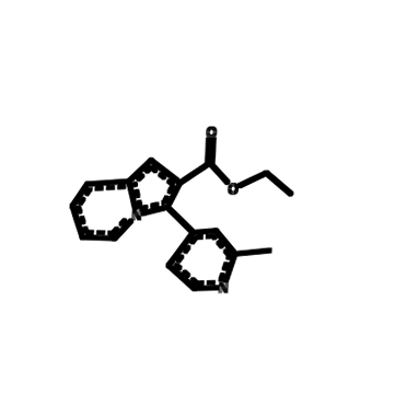 CCOC(=O)c1cc2ccccn2c1-c1ccnc(C)c1